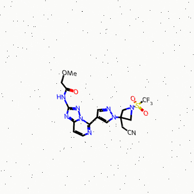 COCC(=O)Nc1nc2ccnc(-c3cnn(C4(CC#N)CN(S(=O)(=O)C(F)(F)F)C4)c3)n2n1